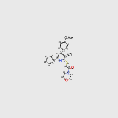 COc1ccc(-c2cc(-c3ccccc3)nc(SCC(=O)N3CCOCC3)c2C#N)cc1